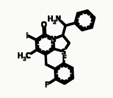 Cc1c(Cc2c(F)cccc2F)c2n(c(=O)c1I)C(C(N)c1ccccc1)CS2